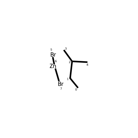 CCC(C)C.[Br][Zn][Br]